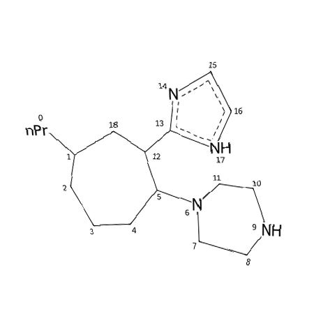 CCCC1CCCC(N2CCNCC2)C(c2ncc[nH]2)C1